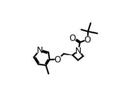 Cc1ccncc1OC[C@@H]1CCN1C(=O)OC(C)(C)C